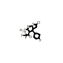 Cc1nc2sc(Cl)cc2c(-c2ccc(F)cc2)c1C(=O)C(F)(F)F